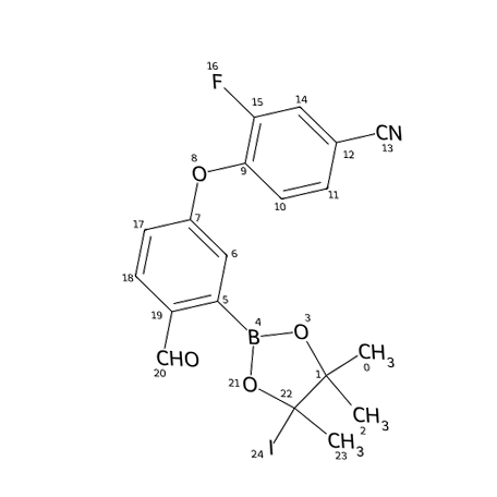 CC1(C)OB(c2cc(Oc3ccc(C#N)cc3F)ccc2C=O)OC1(C)I